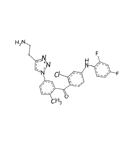 Cc1ccc(-n2cc(CCN)nn2)cc1C(=O)c1ccc(Nc2ccc(F)cc2F)cc1Cl